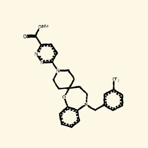 COC(=O)c1ccc(N2CCC3(CC2)CCN(Cc2cccc(C(F)(F)F)c2)c2ccccc2O3)nn1